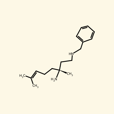 CC(C)=CCC[C@@](C)(N)CCNCc1ccccc1